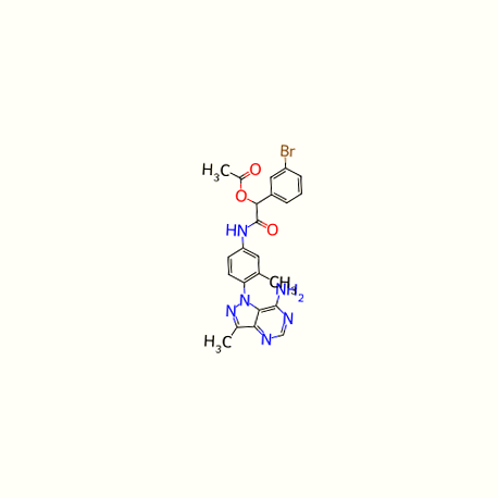 CC(=O)OC(C(=O)Nc1ccc(-n2nc(C)c3ncnc(N)c32)c(C)c1)c1cccc(Br)c1